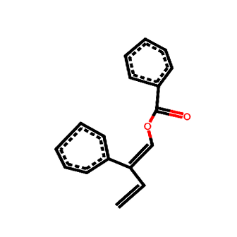 C=CC(=COC(=O)c1ccccc1)c1ccccc1